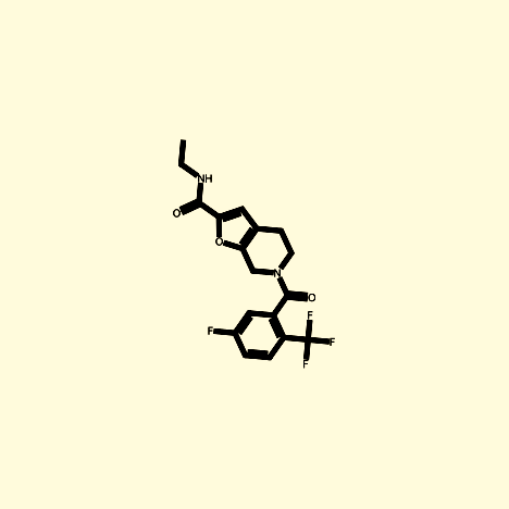 CCNC(=O)c1cc2c(o1)CN(C(=O)c1cc(F)ccc1C(F)(F)F)CC2